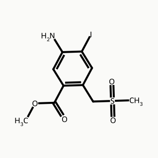 COC(=O)c1cc(N)c(I)cc1CS(C)(=O)=O